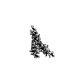 C=C[Si](C)(C)C(C)(C)O[Si](C)(C)C(C)(CC)O[Si](C)(OC(C)(CC)[Si](C)(C)OC(C)(CC)[Si](C)(C)C=C)O[Si](C)(C)O[C@](C)(CC)[Si](C)(C)C=C